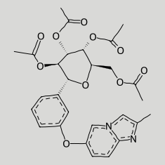 CC(=O)OC[C@H]1O[C@H](c2cccc(Oc3ccc4nc(C)cn4c3)c2)[C@@H](OC(C)=O)[C@H](OC(C)=O)[C@@H]1OC(C)=O